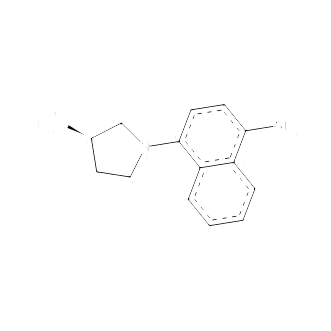 Nc1ccc(N2CC[C@@H](C(=O)O)C2)c2ccccc12